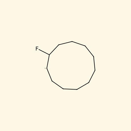 FC1[CH]CCCCCCCCC1